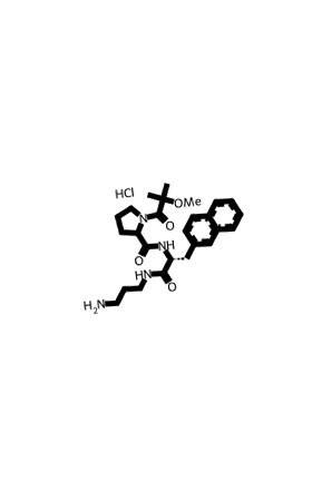 COC(C)(C)C(=O)N1CCCC1C(=O)N[C@H](Cc1ccc2ccccc2c1)C(=O)NCCCN.Cl